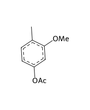 COc1cc(OC(C)=O)ccc1C